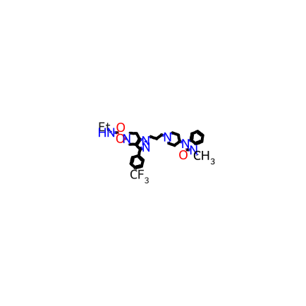 CCNC(=O)ON1CCc2c(c(-c3ccc(C(F)(F)F)cc3)nn2CCCN2CCC(n3c(=O)n(C)c4ccccc43)CC2)C1